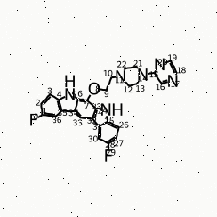 Fc1ccc2[nH]c3c(OCCN4CCN(c5cnccn5)CC4)c4[nH]c5ccc(F)cc5c4cc3c2c1